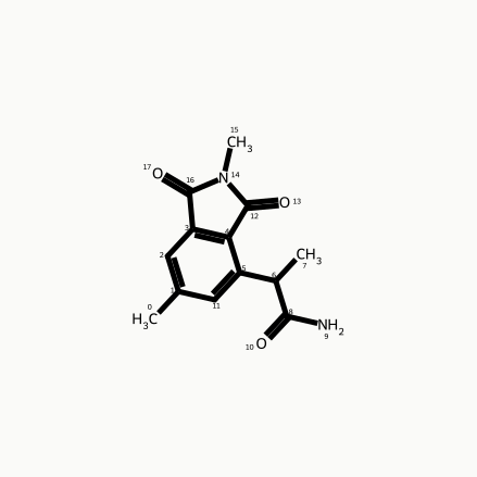 Cc1cc2c(c(C(C)C(N)=O)c1)C(=O)N(C)C2=O